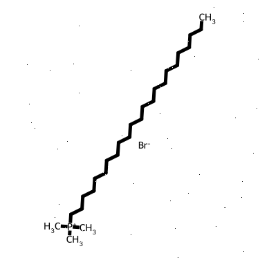 CCCCCCCCCCCCCCCCCCCCCCC[P+](C)(C)C.[Br-]